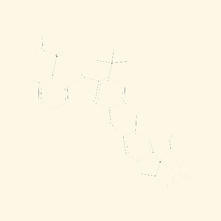 CCC(CC)(c1ccc(Nc2ncc(C(F)(F)F)c(Nc3cccc(F)c3C(=O)NC)n2)c(OC)c1)P(=O)(O)O